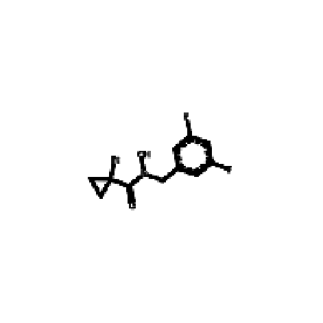 CCC1(C(=O)N(O)Cc2cc(F)cc(F)c2)CC1